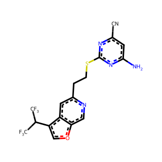 N#Cc1cc(N)nc(SCCc2cc3c(C(C(F)(F)F)C(F)(F)F)coc3cn2)n1